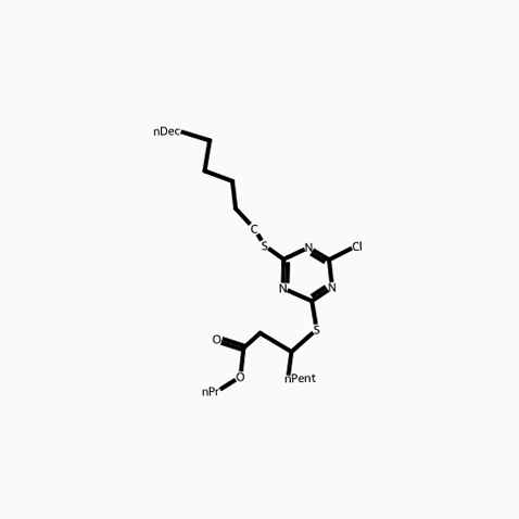 CCCCCCCCCCCCCCCSc1nc(Cl)nc(SC(CCCCC)CC(=O)OCCC)n1